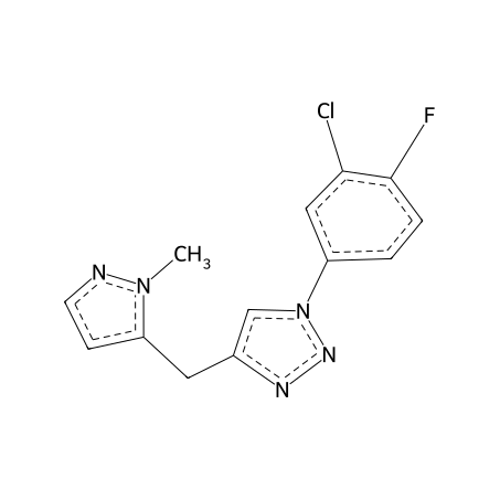 Cn1nccc1Cc1cn(-c2ccc(F)c(Cl)c2)nn1